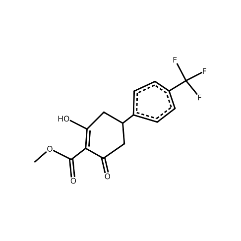 COC(=O)C1=C(O)CC(c2ccc(C(F)(F)F)cc2)CC1=O